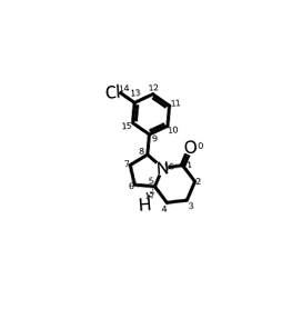 O=C1CCC[C@H]2CCC(c3cccc(Cl)c3)N12